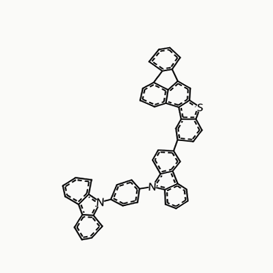 c1ccc2c(c1)-c1cccc3c1c-2cc1sc2ccc(-c4ccc5c(c4)c4ccccc4n5-c4ccc(-n5c6ccccc6c6ccccc65)cc4)cc2c13